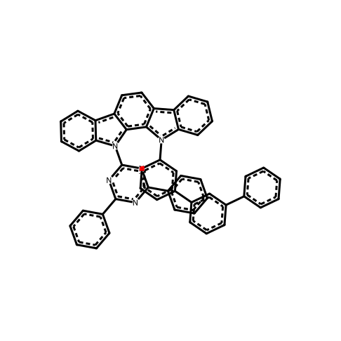 c1ccc(-c2cccc(-c3cccc(-n4c5ccccc5c5ccc6c7ccccc7n(-c7nc(-c8ccccc8)nc(-c8ccccc8)n7)c6c54)c3)c2)cc1